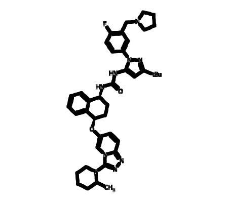 CC1CCCCN1c1nnc2ccc(O[C@@H]3CC[C@H](NC(=O)Nc4cc(C(C)(C)C)nn4-c4ccc(F)c(CN5CCCC5)c4)c4ccccc43)cn12